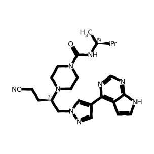 CC(C)[C@H](C)NC(=O)N1CCN([C@H](CCC#N)Cn2cc(-c3ncnc4[nH]ccc34)cn2)CC1